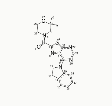 CC1(C)CN(C(=O)c2nc3c(N4CCc5ccccc54)ncnc3s2)CCO1